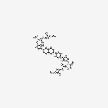 CCCCN(Cc1ncc(-c2ccc3cc(-c4ccc(-c5cnc([C@@H]6[C@H](CC)CCN6C(=O)CNC(=O)OC)[nH]5)cc4)ccc3c2)[nH]1)C(=O)CNC(=O)OC